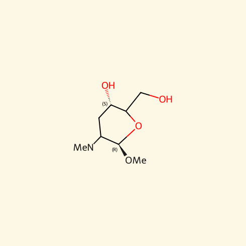 CNC1C[C@H](O)C(CO)O[C@H]1OC